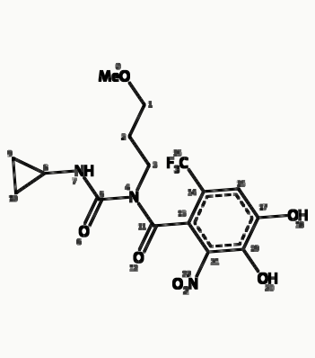 COCCCN(C(=O)NC1CC1)C(=O)c1c(C(F)(F)F)cc(O)c(O)c1[N+](=O)[O-]